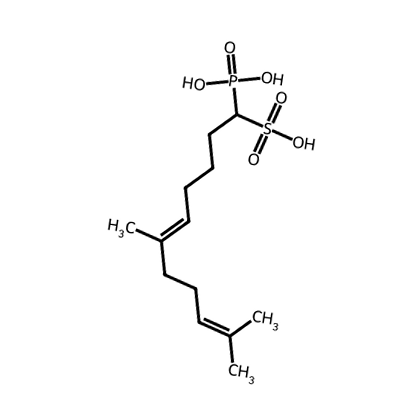 CC(C)=CCCC(C)=CCCCC(P(=O)(O)O)S(=O)(=O)O